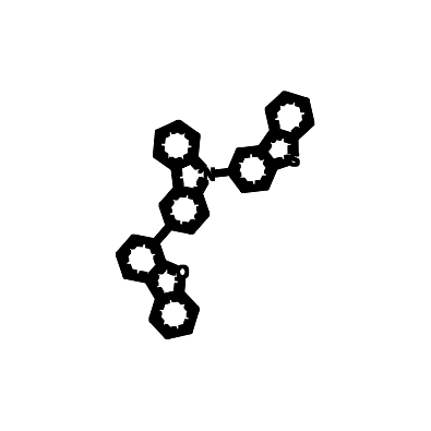 c1ccc2c(c1)oc1c(-c3ccc4c(c3)c3ccccc3n4-c3ccc4sc5ccccc5c4c3)cccc12